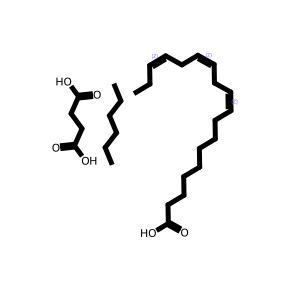 CC/C=C\C/C=C\C/C=C\CCCCCCCC(=O)O.CCCCCC.O=C(O)CCC(=O)O